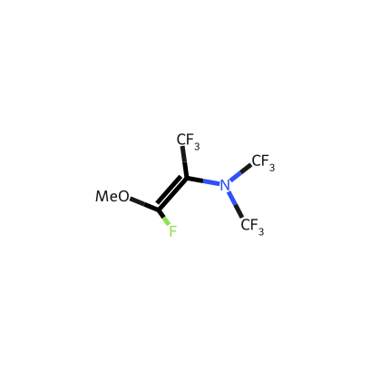 CO/C(F)=C(/N(C(F)(F)F)C(F)(F)F)C(F)(F)F